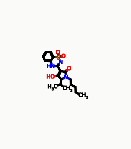 CCCCCN1C(=O)C(C2=NS(=O)(=O)c3ccccc3N2)=C(O)C1C(C)C